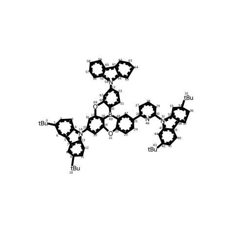 CC(C)(C)c1ccc2c(c1)c1cc(C(C)(C)C)ccc1n2-c1cc2c3c(c1)Oc1ccc(-c4cccc(-n5c6cc(C(C)(C)C)ccc6c6ccc(C(C)(C)C)cc65)n4)cc1B3c1ccc(-n3c4ccccc4c4ccccc43)cc1O2